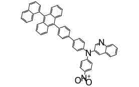 O=[N+]([O-])c1ccc(N(c2ccc(-c3ccc(-c4c5ccccc5c(-c5cccc6ccccc56)c5ccccc45)cc3)cc2)c2cnc3ccccc3c2)cc1